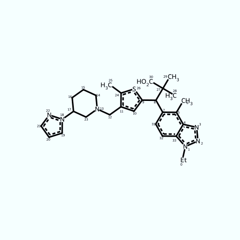 CCn1nnc2c(C)c(C(c3cc(CN4CCCC(n5cccn5)C4)c(C)s3)C(C)(C)C(=O)O)ccc21